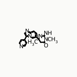 CN1C(=N)N[C@](C)(c2ccc3ncc(-c4ccncc4)n3c2)CC1=O